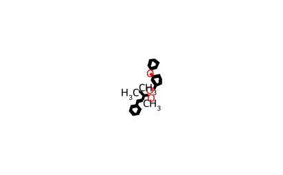 CC(=Cc1ccccc1)C(C(=O)OCc1cccc(Oc2ccccc2)c1)C(C)C